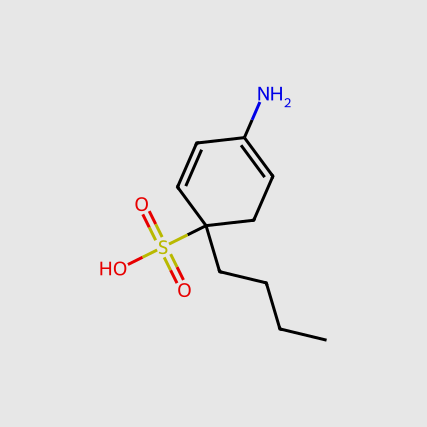 CCCCC1(S(=O)(=O)O)C=CC(N)=CC1